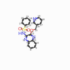 O=S(=O)(Nc1nc2ccccc2nc1OCc1cccnc1)c1ccccc1